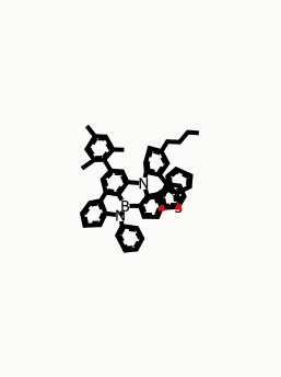 CCCCc1ccc(N2c3cc(-c4c(C)cc(C)cc4C)cc4c3B(c3ccc5sc6ccccc6c5c32)N(c2ccccc2)c2ccccc2-4)c(-c2ccccc2)c1